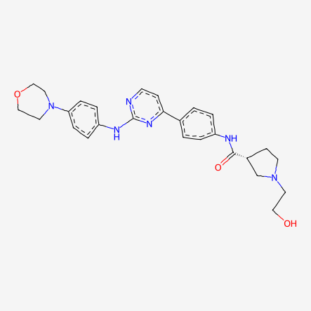 O=C(Nc1ccc(-c2ccnc(Nc3ccc(N4CCOCC4)cc3)n2)cc1)[C@@H]1CCN(CCO)C1